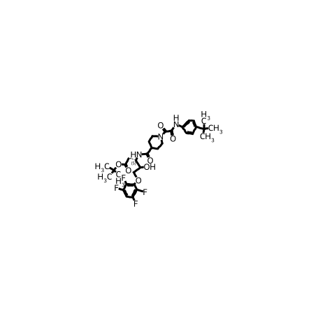 CC(C)(C)OC(=O)C[C@H](NC(=O)C1CCN(C(=O)C(=O)Nc2ccc(C(C)(C)C)cc2)CC1)C(O)COc1c(F)c(F)cc(F)c1F